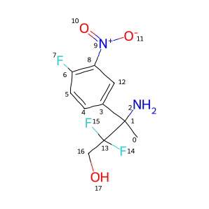 CC(N)(c1ccc(F)c([N+](=O)[O-])c1)C(F)(F)CO